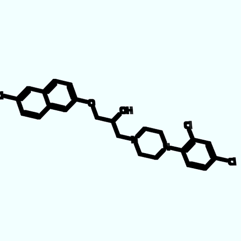 OC(COc1ccc2cc(Cl)ccc2c1)CN1CCN(c2ccc(Cl)cc2Cl)CC1